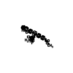 CCOC(=O)CCN1CCN(C2CCN(C(=O)[C@@H](Cc3cc(Cl)c(N)c(C(F)(F)F)c3)OC(=O)N3CCC(N4CCc5ccccc5NC4=O)CC3)CC2)CC1